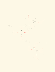 CCCC[O][Ti]([O]CCCC)([O]CCCC)[O]CCCC.CCO[Si](C)(OCC)OCC.CCO[Si](OCC)(OCC)OCC